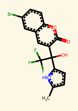 Cc1ccc(C(O)(c2cc3cc(Br)ccc3oc2=O)C(F)(F)F)[nH]1